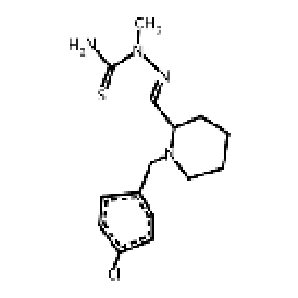 CN(N=CC1CCCCN1Cc1ccc(Cl)cc1)C(N)=S